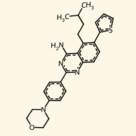 CC(C)CCc1c(-c2cccs2)ccc2nc(-c3ccc(N4CCOCC4)cc3)nc(N)c12